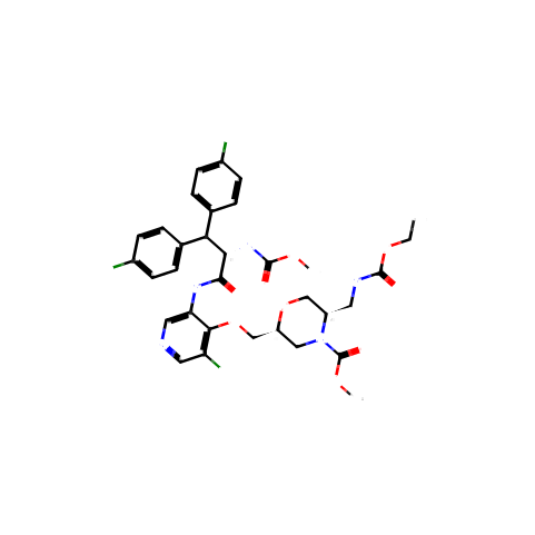 CC(C)(C)OC(=O)N[C@H](C(=O)Nc1cncc(F)c1OC[C@@H]1CN(C(=O)OC(C)(C)C)[C@H](CNC(=O)OCC(F)(F)F)CO1)C(c1ccc(F)cc1)c1ccc(F)cc1